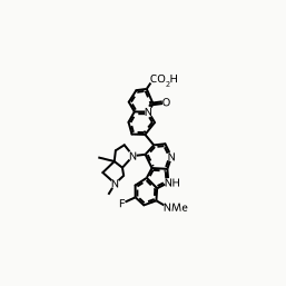 CNc1cc(F)cc2c1[nH]c1ncc(-c3ccc4ccc(C(=O)O)c(=O)n4c3)c(N3CCC4(C)CN(C)CC34)c12